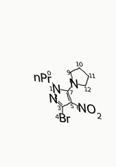 [CH2]CCn1nc(Br)c([N+](=O)[O-])c1N1CCCC1